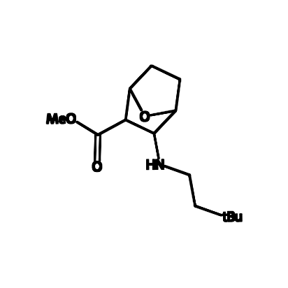 COC(=O)C1C2CCC(O2)C1NCCC(C)(C)C